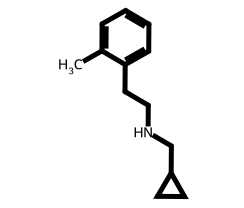 Cc1ccccc1CCNCC1CC1